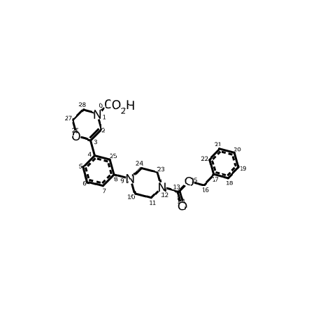 O=C(O)N1C=C(c2cccc(N3CCN(C(=O)OCc4ccccc4)CC3)c2)OCC1